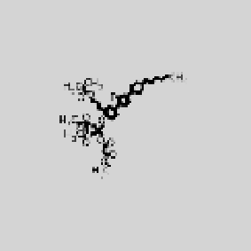 C=C(C)C(=O)OCCCc1cc(-c2ccc(C3CCC(CCCCCC)CC3)cc2F)ccc1OCC(COC(C)=O)(COC(=O)CC(=O)OCC)COC(=O)C(=C)C